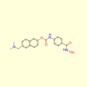 CN(C)Cc1ccc2cc(OC(=O)Nc3ccc(C(=O)NO)cc3)ccc2c1